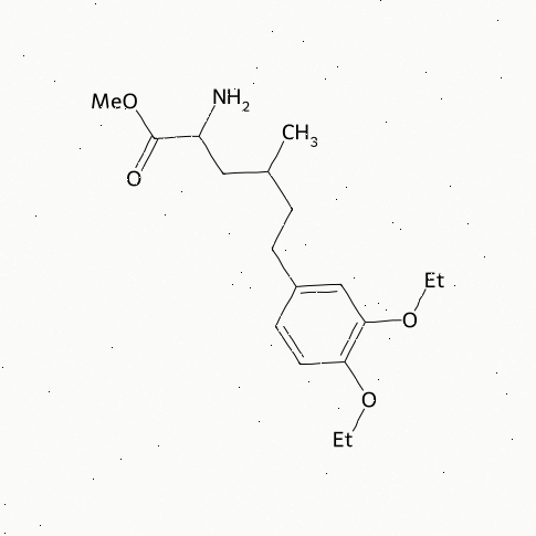 CCOc1ccc(CCC(C)CC(N)C(=O)OC)cc1OCC